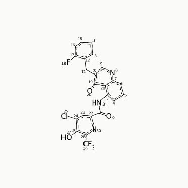 O=C(Nc1cccc2ncn(Cc3ccccc3F)c(=O)c12)c1cc(Cl)c(O)c(C(F)(F)F)n1